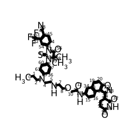 CCCN(CCNCCOCC(=O)Nc1ccc2c(ccc3onc(C4CCC(=O)NC4=O)c32)c1)c1ccc(N2C(=S)N(c3ccc(C#N)c(C(F)(F)F)c3)C(=O)C2(C)C)cc1